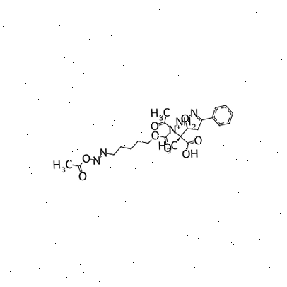 CC(=O)ON=NCCCCCOC(=O)[N+](N)(C(C)=O)[C@@](C)(C(=O)O)C1CC(c2ccccc2)=NO1